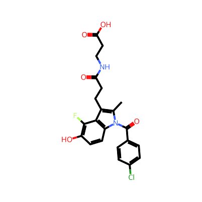 Cc1c(CCC(=O)NCCC(=O)O)c2c(F)c(O)ccc2n1C(=O)c1ccc(Cl)cc1